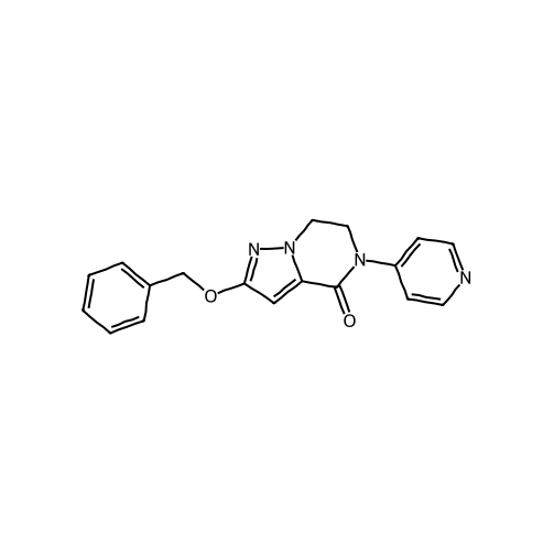 O=C1c2cc(OCc3ccccc3)nn2CCN1c1ccncc1